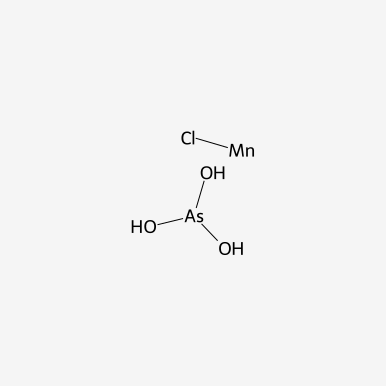 O[As](O)O.[Cl][Mn]